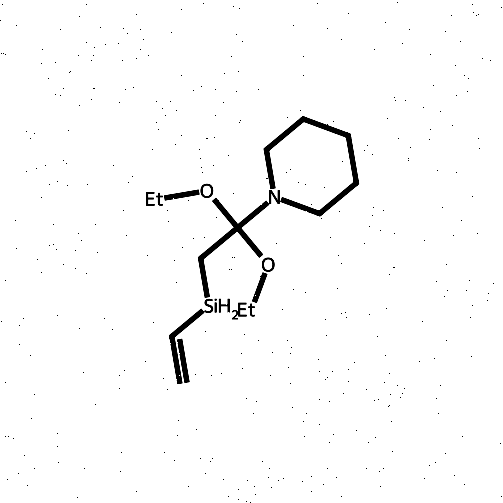 C=C[SiH2]CC(OCC)(OCC)N1CCCCC1